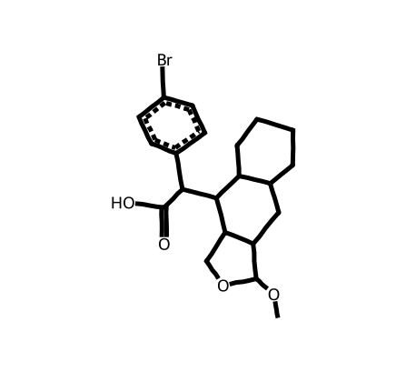 COC1OCC2C1CC1CCCCC1C2C(C(=O)O)c1ccc(Br)cc1